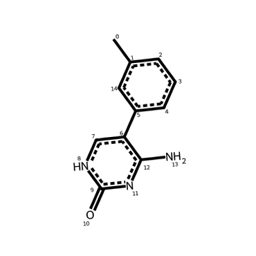 Cc1cccc(-c2c[nH]c(=O)nc2N)c1